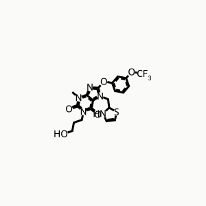 Cn1c(=O)n(CCCO)c(=O)c2c1nc(Oc1cccc(OC(F)(F)F)c1)n2CC1NC=CS1